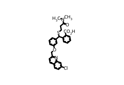 CN(C)C(=O)CCSC(c1cccc(OCc2ccc3ccc(Cl)cc3n2)c1)c1ccccc1C(=O)O